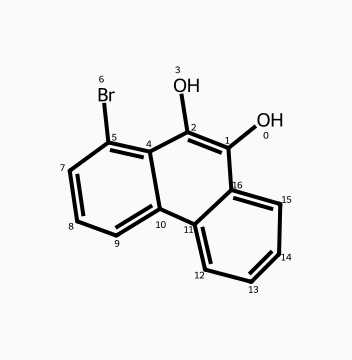 Oc1c(O)c2c(Br)cccc2c2ccccc12